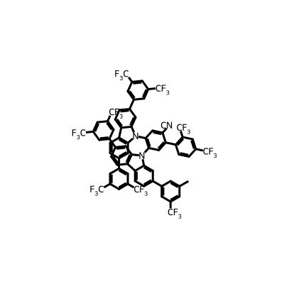 Cc1cc(-c2ccc3c4ccc(-c5cc(C(F)(F)F)cc(C(F)(F)F)c5)cc4n(-c4cc(-c5ccc(C(F)(F)F)cc5C(F)(F)F)c(C#N)cc4-n4c5cc(-c6cc(C(F)(F)F)cc(C(F)(F)F)c6)ccc5c5ccc(-c6cc(C(F)(F)F)cc(C(F)(F)F)c6)cc54)c3c2)cc(C(F)(F)F)c1